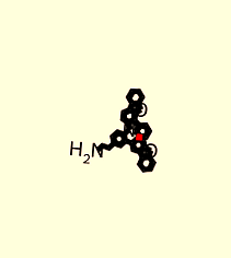 NCCc1ccc(-n2c3ccccc3c3c4oc5c(c4ccc32)C=CCC5)c(-c2ccc3oc4c(c3c2)CCC=C4)c1